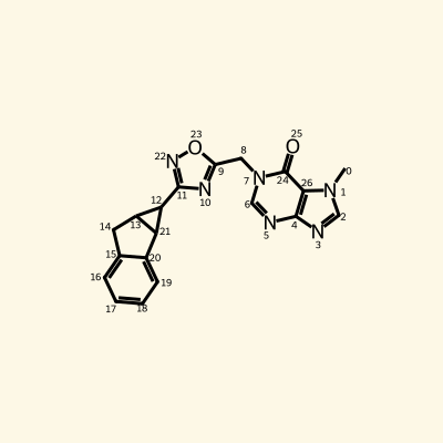 Cn1cnc2ncn(Cc3nc(C4C5Cc6ccccc6C54)no3)c(=O)c21